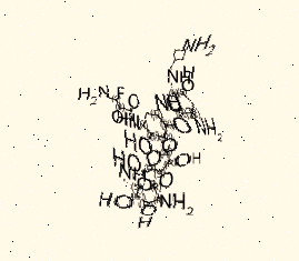 NC[C@@H](F)[C@H](O)C(=O)N[C@@H]1C[C@H](N)[C@@H](O[C@H]2O[C@H](CNCC3CC(N)C3)[C@@H](O)C[C@H]2N)[C@H](O[C@@H]2O[C@H](CO)[C@@H](O[C@H]3O[C@@H](CN)[C@@H](O)[C@H](O)[C@H]3N)[C@H]2O)[C@H]1O